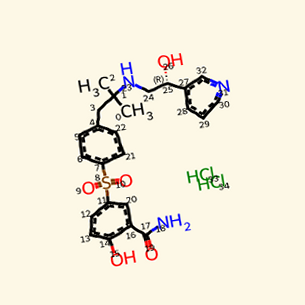 CC(C)(Cc1ccc(S(=O)(=O)c2ccc(O)c(C(N)=O)c2)cc1)NC[C@H](O)c1cccnc1.Cl.Cl